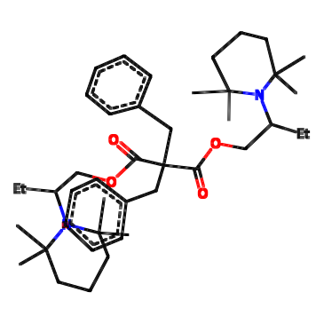 CCC(COC(=O)C(Cc1ccccc1)(Cc1ccccc1)C(=O)OCC(CC)N1C(C)(C)CCCC1(C)C)N1C(C)(C)CCCC1(C)C